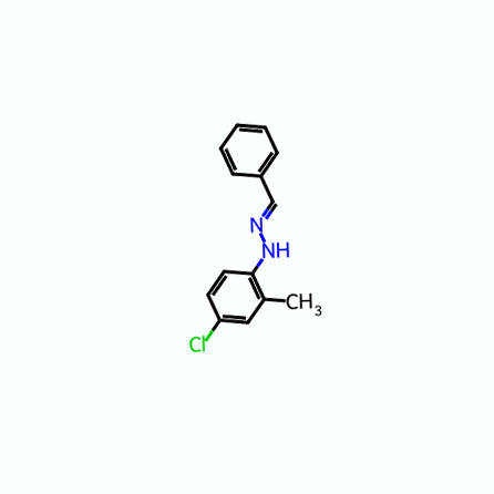 Cc1cc(Cl)ccc1N/N=C/c1ccccc1